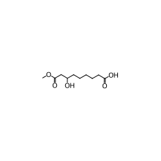 COC(=O)CC(O)CCCCCC(=O)O